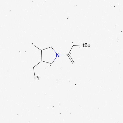 C=C(CC(C)(C)C)N1CC(C)C(CC(C)C)C1